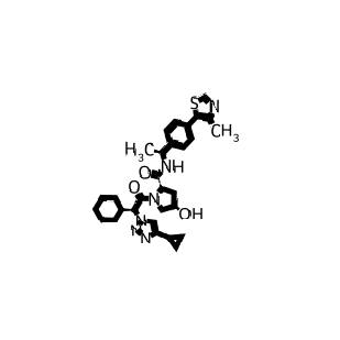 Cc1ncsc1-c1ccc([C@H](C)NC(=O)[C@@H]2C[C@@H](O)CN2C(=O)[C@H](C2CCCCC2)n2cc(C3CC3)nn2)cc1